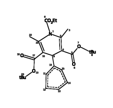 CCOC(=O)N1C(C)=C(C(=O)OC(C)(C)C)C(c2ccccc2)C(C(=O)OC(C)(C)C)=C1C